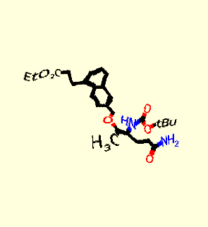 CCOC(=O)CCc1cccc2cc(COC(C)C(CCC(N)=O)NC(=O)OC(C)(C)C)ccc12